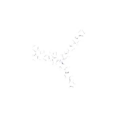 CC1(C)c2cc(-c3cc4ccccc4c4ccccc34)ccc2-c2ccc(N(c3ccc(-c4ccc(-c5ccccc5)cc4)cc3)c3ccc(-c4ccc(-c5ccc(-c6ccccc6)cc5)cc4)cc3)cc21